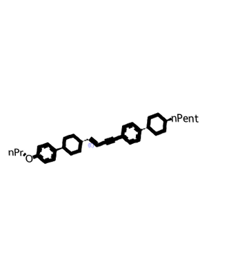 CCCCC[C@H]1CC[C@H](c2ccc(C#C/C=C/[C@H]3CC[C@H](c4ccc(OCCC)cc4)CC3)cc2)CC1